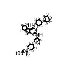 CC(C)(C)OC(=O)N1CCC(n2cc(Nc3nc(N[C@H]4CC[C@H](N5CCOCC5)CC4)c4c5c(sc4n3)CCC5)cn2)CC1